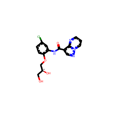 O=C(Nc1cc(Cl)ccc1OC[C@@H](O)CO)c1cnn2cccnc12